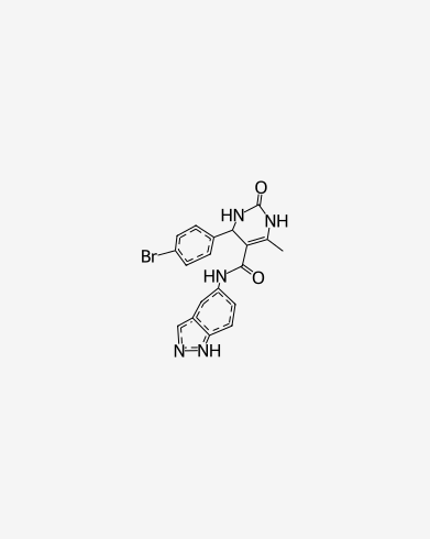 CC1=C(C(=O)Nc2ccc3[nH]ncc3c2)C(c2ccc(Br)cc2)NC(=O)N1